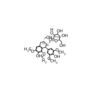 COc1cc(C2c3c(cc(OC)c(O)c3OC)C[C@H](CO)[C@@H]2CO[C@@H]2OC(CO)[C@@H](O)C(O)[C@@H]2O)cc(OC)c1O